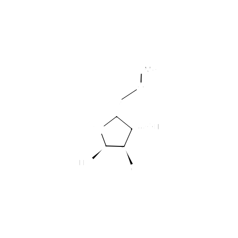 CSOC[C@H]1O[C@H](O)[C@H](O)[C@H]1O